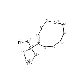 CCO[Si](OCC)(OCC)C1=CCCCCCCCC1